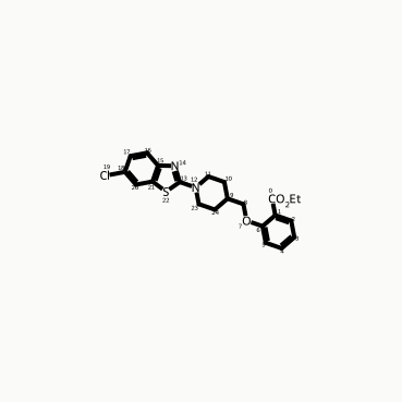 CCOC(=O)c1ccccc1OCC1CCN(c2nc3ccc(Cl)cc3s2)CC1